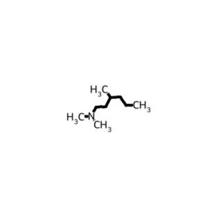 CCCC(C)CCN(C)C